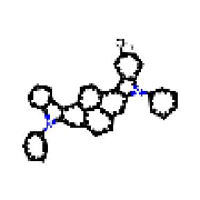 Cc1ccc2c(c1)c1c3ccc4c5c(ccc(cc1n2-c1ccccc1)c35)cc1c4c2ccccc2n1-c1ccccc1